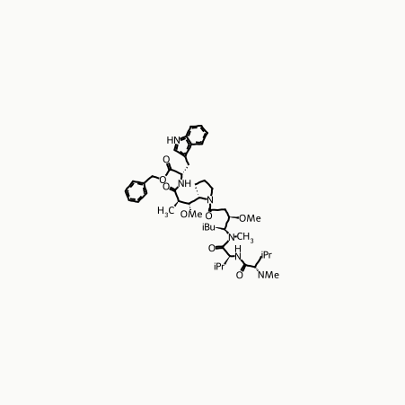 CC[C@H](C)[C@@H]([C@@H](CC(=O)N1CCC[C@H]1[C@H](OC)[C@@H](C)C(=O)N[C@@H](Cc1c[nH]c2ccccc12)C(=O)OCc1ccccc1)OC)N(C)C(=O)[C@@H](NC(=O)[C@@H](NC)C(C)C)C(C)C